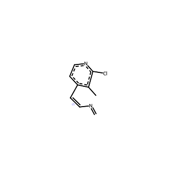 C=N/C=C\c1ccnc(Cl)c1C